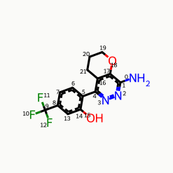 Nc1nnc(-c2ccc(C(F)(F)F)cc2O)c2c1OCCC2